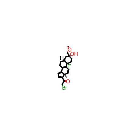 COC[C@@]1(O)CC[C@]2(F)C3=C(CC[C@@H]2C1)C1=CC=C(C(=O)CBr)[C@@]1(C)C=C3